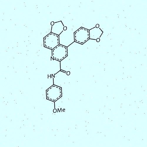 COc1ccc(NC(=O)c2cc(-c3ccc4c(c3)OCO4)c3c4c(ccc3n2)OCO4)cc1